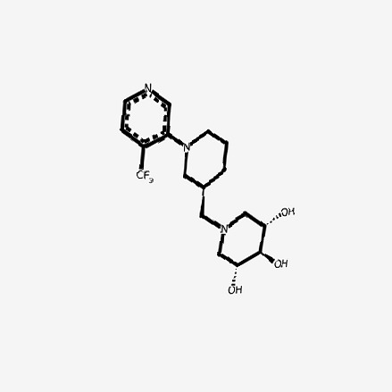 O[C@H]1[C@H](O)CN(C[C@@H]2CCCN(c3cnccc3C(F)(F)F)C2)C[C@@H]1O